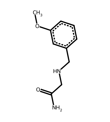 COc1cccc(CNCC(N)=O)c1